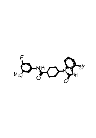 COc1cc(F)cc(NC(=O)C2CCC(n3c(=O)[nH]c4c(Br)cccc43)CC2)c1